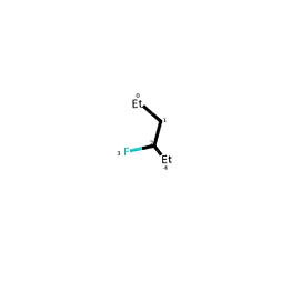 [CH2]CCC(F)CC